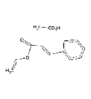 C=COC(=O)C=Cc1ccccc1.CC(=O)O